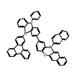 c1ccc(N2c3ccccc3N(c3ccc4c5ccccc5c5ccccc5c4c3)c3cc(-c4ccc5c(c4)N(c4ccc6ccccc6c4)c4cc6ccccc6cc4O5)ccc32)cc1